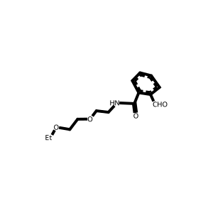 CCOCCOCCNC(=O)c1ccccc1C=O